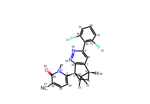 Cn1c([C@@]23CC[C@@H](c4cc(-c5c(F)cccc5F)nnc42)C3(C)C)ccc(C#N)c1=O